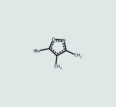 [CH2]c1noc(C(C)(C)C)c1C